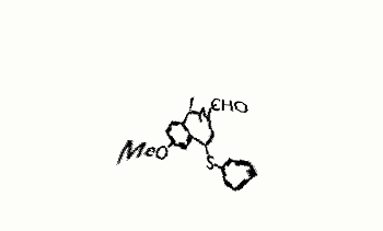 COc1ccc2c(c1)C(Sc1ccccc1)CN(C=O)[C@@H]2C